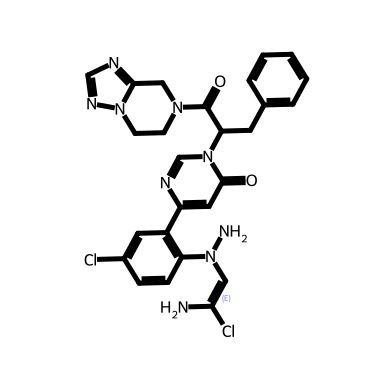 N/C(Cl)=C\N(N)c1ccc(Cl)cc1-c1cc(=O)n(C(Cc2ccccc2)C(=O)N2CCn3ncnc3C2)cn1